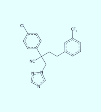 N#CC(CCc1cccc(C(F)(F)F)c1)(Cn1cncn1)c1ccc(Cl)cc1